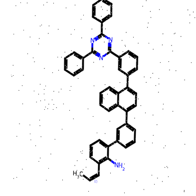 C/C=C\c1cccc(-c2cccc(-c3ccc(-c4cccc(-c5nc(-c6ccccc6)nc(-c6ccccc6)n5)c4)c4ccccc34)c2)c1N